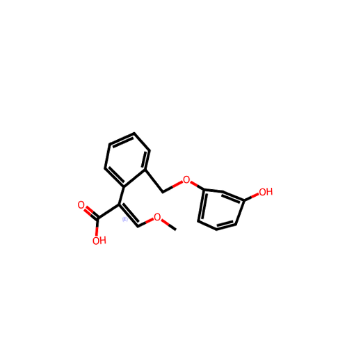 CO/C=C(/C(=O)O)c1ccccc1COc1cccc(O)c1